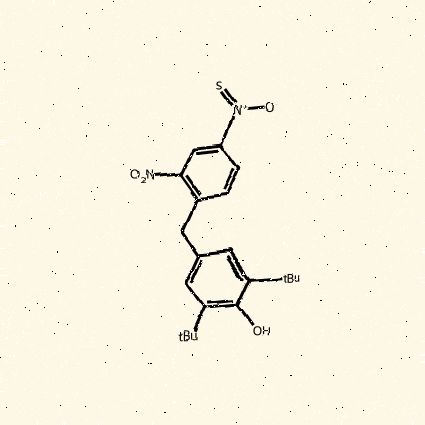 CC(C)(C)c1cc(Cc2ccc([N+]([O-])=S)cc2[N+](=O)[O-])cc(C(C)(C)C)c1O